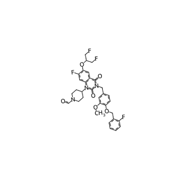 COc1cc(Cn2c(=O)c3cc(OC(CF)CF)c(F)cc3n(C3CCN(C=O)CC3)c2=O)ccc1OCc1ccccc1F